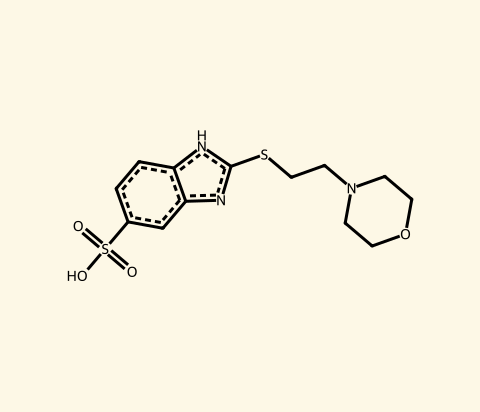 O=S(=O)(O)c1ccc2[nH]c(SCCN3CCOCC3)nc2c1